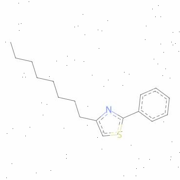 CCCCCCCCc1csc(-c2ccccc2)n1